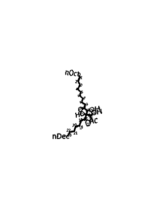 CCCCCCCCC=CCCCCCCCC(=O)C(O)C(O)(C(=O)CCCCCCCCCCCCCCC)C(O)C(C)=O